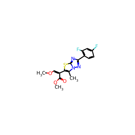 COC=C(C(=O)OC)c1sc2nc(-c3ccc(F)cc3F)nn2c1C